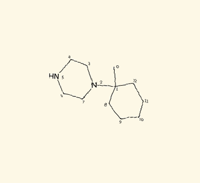 CC1(N2CCNCC2)CCCCC1